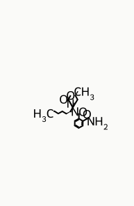 CCCCC[C@@H]1N(C(=O)c2ccccc2C(N)=O)[C@]12C1C[C@H](C)OC(=O)N12